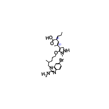 CC/C=C(\C=C(/C)C1=C(OCCCC(C)Cn2c(N)nc3ccc(Br)cc32)N(C)NC1)C(=O)O